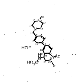 CC(=O)N1c2ccc(-c3ccc(CN4CCN(C)CC4)cc3)cc2[C@H](NC(=O)O)C[C@@H]1C.Cl